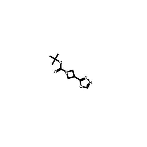 CC(C)(C)OC(=O)N1CC(c2nn[c]o2)C1